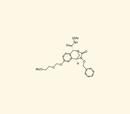 COCCOCOc1ccc2c(c1)[C@H]1CN(C(=O)N1OCc1ccccc1)[C@H]2C(=O)NOC